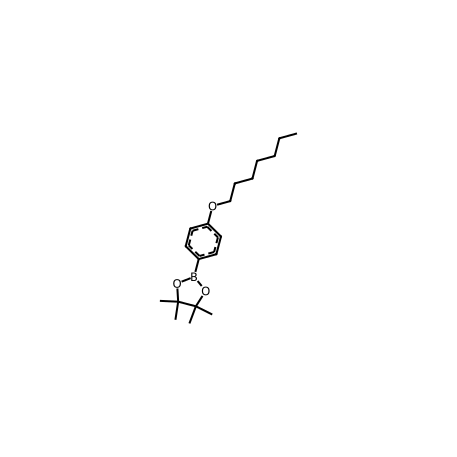 CCCCCCCOc1ccc(B2OC(C)(C)C(C)(C)O2)cc1